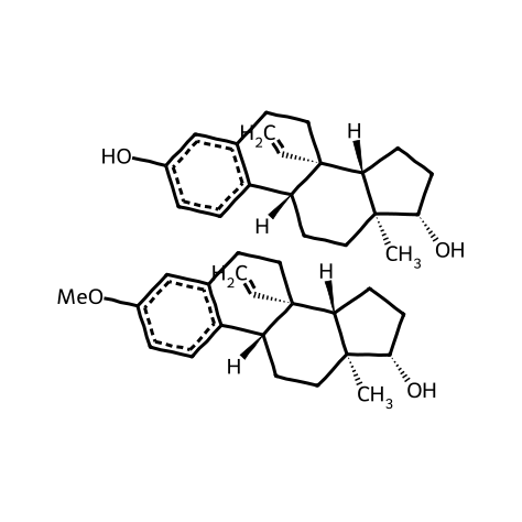 C=C[C@@]12CCc3cc(O)ccc3[C@H]1CC[C@@]1(C)[C@H]2CC[C@@H]1O.C=C[C@@]12CCc3cc(OC)ccc3[C@H]1CC[C@@]1(C)[C@H]2CC[C@@H]1O